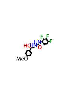 COc1ccc(C(O)CNC(=O)NC2C=CC(F)=C(F)C2F)cc1